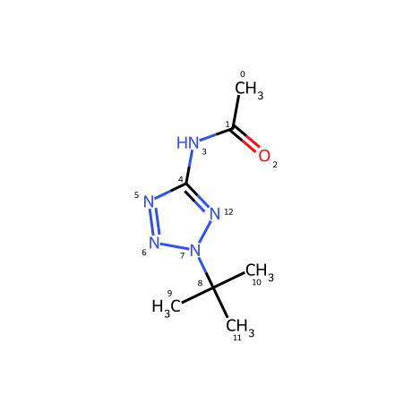 CC(=O)Nc1nnn(C(C)(C)C)n1